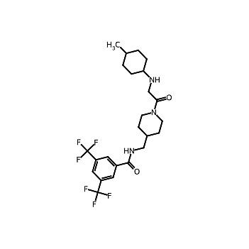 CC1CCC(NCC(=O)N2CCC(CNC(=O)c3cc(C(F)(F)F)cc(C(F)(F)F)c3)CC2)CC1